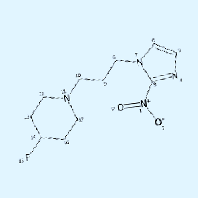 O=[N+]([O-])c1nccn1CCCN1CCC(F)CC1